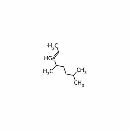 [CH2][CH]=[GeH][CH](C)CCC(C)C